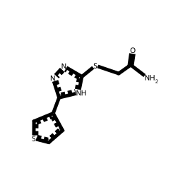 NC(=O)CSc1nnc(-c2ccsc2)[nH]1